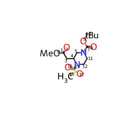 COC(=O)CC1CN(C(=O)OC(C)(C)C)CCN1S(C)(=O)=O